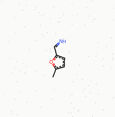 Cc1ccc(C=N)o1